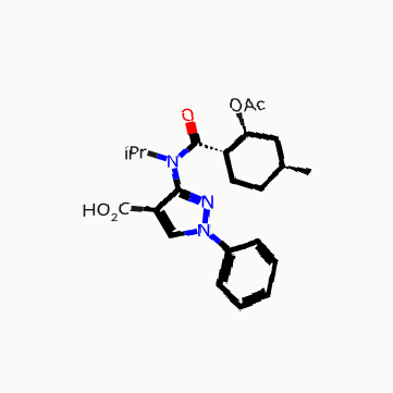 CC(=O)O[C@H]1C[C@@H](C)CC[C@@H]1C(=O)N(c1nn(-c2ccccc2)cc1C(=O)O)C(C)C